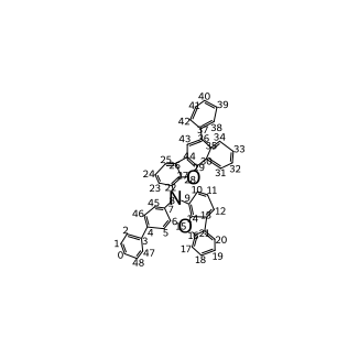 c1ccc(-c2ccc(N(c3cccc4c3oc3ccccc34)c3cccc4c3oc3c5ccccc5c(-c5ccccc5)cc43)cc2)cc1